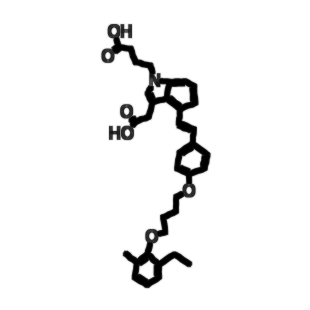 CCc1cccc(C)c1OCCCCOc1ccc(C=Cc2cccc3c2c(CC(=O)O)cn3CCCC(=O)O)cc1